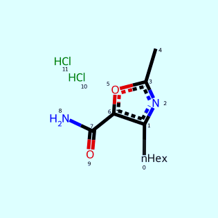 CCCCCCc1nc(C)oc1C(N)=O.Cl.Cl